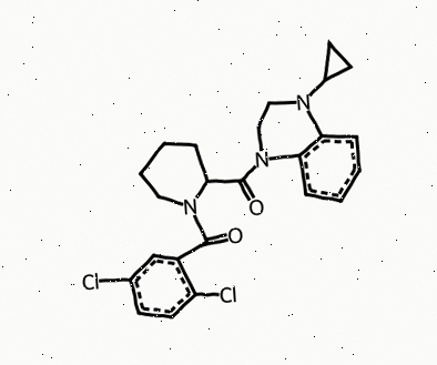 O=C(C1CCCCN1C(=O)c1cc(Cl)ccc1Cl)N1CCN(C2CC2)c2ccccc21